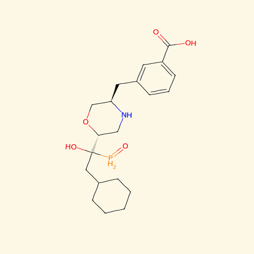 O=[PH2]C(O)(CC1CCCCC1)[C@H]1CN[C@H](Cc2cccc(C(=O)O)c2)CO1